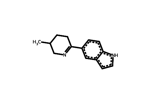 CC1CCC(c2ccc3[nH]ccc3c2)=NC1